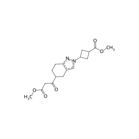 COC(=O)CC(=O)C1CCc2nn(C3CC(C(=O)OC)C3)cc2C1